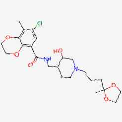 Cc1c(Cl)cc(C(=O)NCC2CCN(CCCC3(C)OCCO3)CC2O)c2c1OCCO2